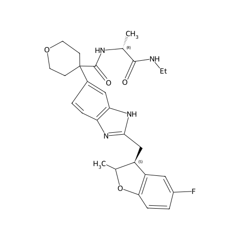 CCNC(=O)[C@@H](C)NC(=O)C1(c2ccc3nc(C[C@H]4c5cc(F)ccc5OC4C)[nH]c3c2)CCOCC1